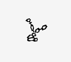 CC(C)(c1ccccc1)c1ccc(N(c2ccc(-c3ccccc3)cc2)c2ccc3c(ccc4ccc5ccccc5c43)c2)cc1